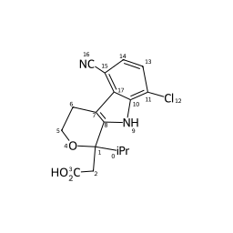 CC(C)C1(CC(=O)O)OCCc2c1[nH]c1c(Cl)ccc(C#N)c21